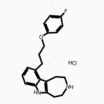 Cl.Fc1ccc(OCCCc2cccc3[nH]c4c(c23)CCNCC4)cc1